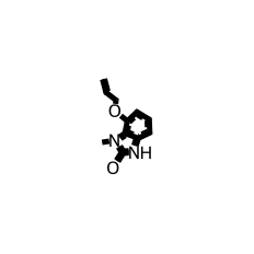 C=CCOc1cccc2[nH]c(=O)n(C)c12